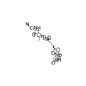 CCc1cc2c(cc1N1CCN(C(=O)CCCCSc3cccc4c3C(=O)N(C3CCC(=O)NC3=O)C4=O)CC1)C(C)(C)c1[nH]c3cc(C#N)ccc3c1C2=O